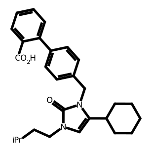 CC(C)CCn1cc(C2CCCCC2)n(Cc2ccc(-c3ccccc3C(=O)O)cc2)c1=O